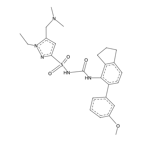 CCn1nc(S(=O)(=O)NC(=O)Nc2c(-c3cccc(OC)c3)ccc3c2CCC3)cc1CN(C)C